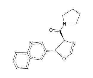 O=C([C@H]1N=CO[C@@H]1c1cnc2ccccc2c1)N1CCCC1